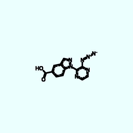 [N-]=[N+]=Nc1nccnc1-n1ncc2cc(C(=O)O)ccc21